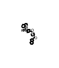 O=C(c1ccc(NS(=O)(=O)C2=c3ncccc3=CCC2)cc1)N1CCN(C(=O)c2ccc3ccccc3c2)CC1